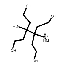 Cl.NC(CCO)(CCO)C(N)(CCO)CCO